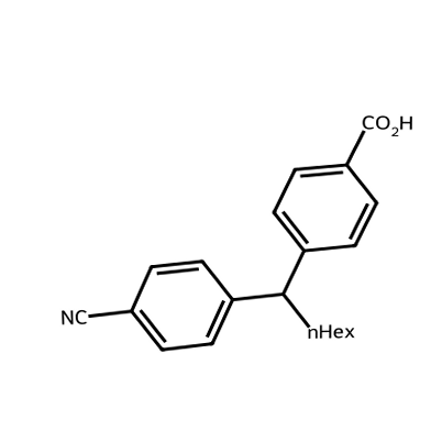 CCCCCCC(c1ccc(C#N)cc1)c1ccc(C(=O)O)cc1